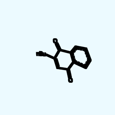 CCCCC1=CC(=O)c2ccccc2C1=O